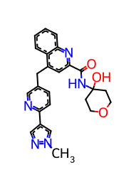 Cn1cc(-c2ccc(Cc3cc(C(=O)NC4(O)CCOCC4)nc4ccccc34)cn2)cn1